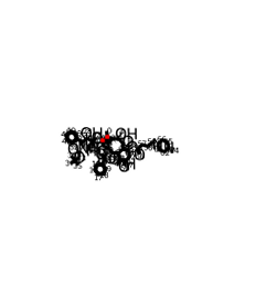 CC1=C2[C@@H](O)C(=O)[C@@]3(C)C([C@H](OC(=O)c4ccccc4)[C@](O)(C[C@@H]1OC(=O)[C@H](O)[C@@H](NC(=O)OC(C)(C)C)c1ccccc1)C2(C)C)[C@]1(O)CO[C@@H]1C[C@@H]3OC(=O)CCCN1CCN(C)CC1